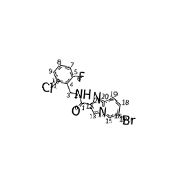 O=C(NCc1c(F)cccc1Cl)c1cn2cc(Br)ccc2n1